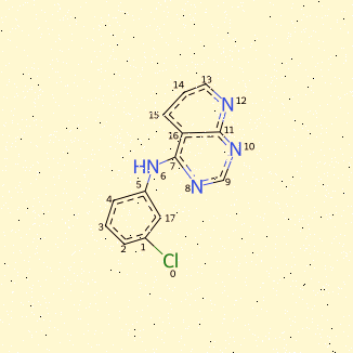 Clc1cccc(Nc2ncnc3ncccc23)c1